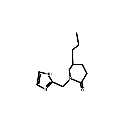 CCCC1CCC(=O)N(Cc2ncc[nH]2)C1